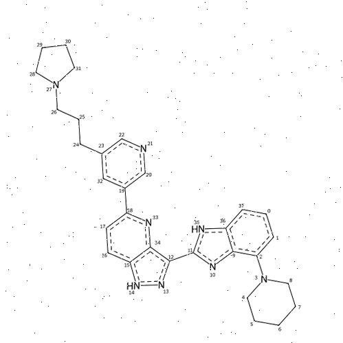 c1cc(N2CCCCC2)c2nc(-c3n[nH]c4ccc(-c5cncc(CCCN6CCCC6)c5)nc34)[nH]c2c1